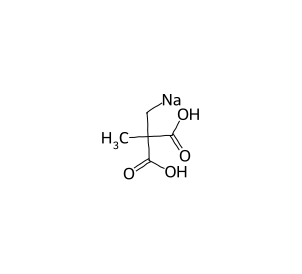 CC([CH2][Na])(C(=O)O)C(=O)O